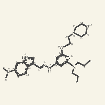 CCCN(CCC)c1cc(N/N=C/c2c[nH]c3cc(N(C)C)ccc23)cc(OCCN2CCOCC2)n1